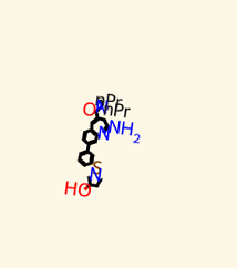 CCCN(CCC)C(=O)C1=Cc2ccc(-c3cccc(SN4CCC(O)C4)c3)cc2N=C(N)C1